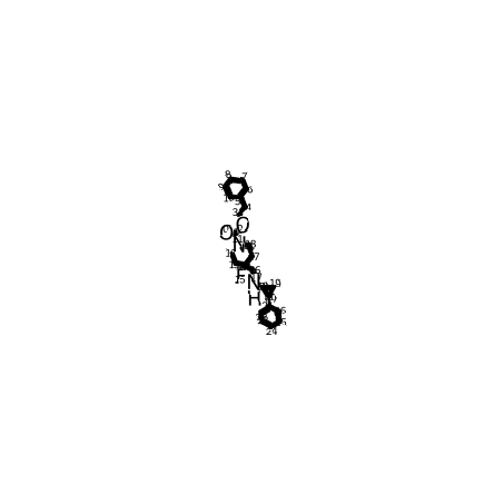 O=C(OCCc1ccccc1)N1CCC(F)(CN[C@@H]2C[C@H]2c2ccccc2)CC1